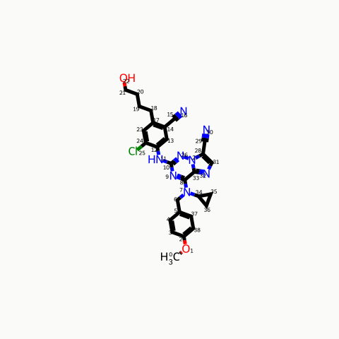 COc1ccc(CN(c2nc(Nc3cc(C#N)c(CCCCO)cc3Cl)nn3c(C#N)cnc23)C2CC2)cc1